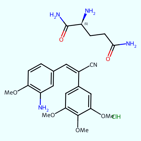 COc1ccc(C=C(C#N)c2cc(OC)c(OC)c(OC)c2)cc1N.Cl.NC(=O)CC[C@H](N)C(N)=O